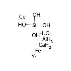 O.O[Si](O)(O)O.[AlH3].[CaH2].[Ce].[Fe].[Y]